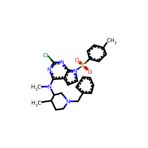 Cc1ccc(S(=O)(=O)n2ccc3c(N(C)C4CN(Cc5ccccc5)CCC4C)nc(Cl)nc32)cc1